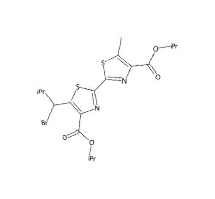 Cc1sc(-c2nc(C(=O)OC(C)C)c(C(Br)C(C)C)s2)nc1C(=O)OC(C)C